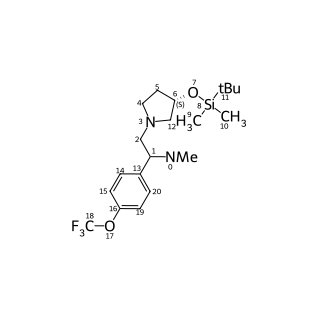 CNC(CN1CC[C@H](O[Si](C)(C)C(C)(C)C)C1)c1ccc(OC(F)(F)F)cc1